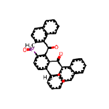 Cc1ccc2ccccc2c1C(=O)c1c(P=O)ccc(-c2ccccc2)c1C(=O)c1c(C)ccc2ccccc12